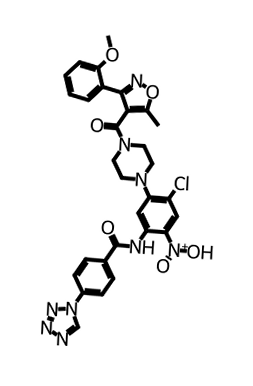 COc1ccccc1-c1noc(C)c1C(=O)N1CCN(c2cc(NC(=O)c3ccc(-n4cnnn4)cc3)c([N+](=O)O)cc2Cl)CC1